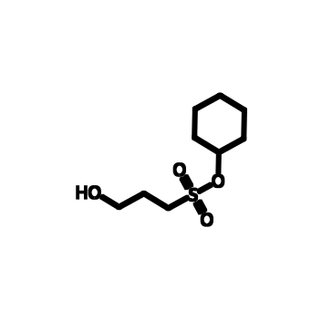 O=S(=O)(CCCO)OC1CCCCC1